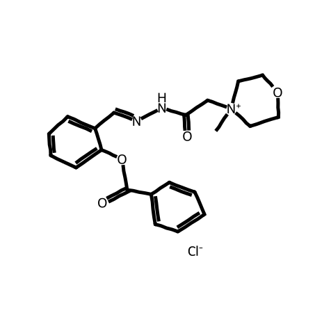 C[N+]1(CC(=O)NN=Cc2ccccc2OC(=O)c2ccccc2)CCOCC1.[Cl-]